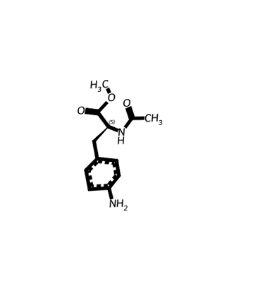 COC(=O)[C@H](Cc1ccc(N)cc1)NC(C)=O